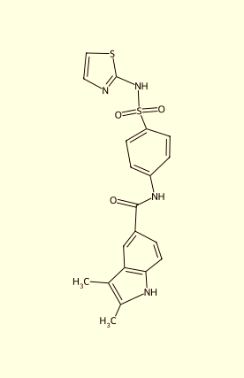 Cc1[nH]c2ccc(C(=O)Nc3ccc(S(=O)(=O)Nc4nccs4)cc3)cc2c1C